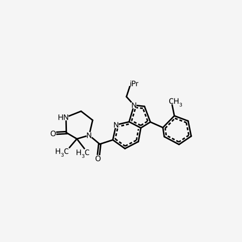 Cc1ccccc1-c1cn(CC(C)C)c2nc(C(=O)N3CCNC(=O)C3(C)C)ccc12